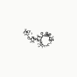 CC1(C)CC2CCCn3cc(cn3)S(=O)(=O)NC(=O)c3ccc(-n4ccc(OCCC5(C(F)(F)F)CC5)n4)nc3N1C2